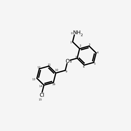 NCc1ccccc1OCc1cccc(Cl)c1